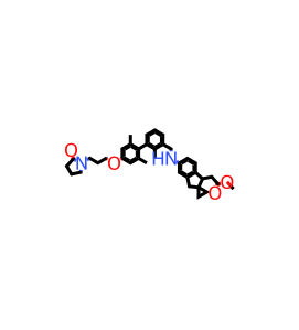 COC(=O)CC1c2ccc(NCc3cccc(-c4c(C)cc(OCCCN5CCCC5=O)cc4C)c3C)cc2CC12CC2